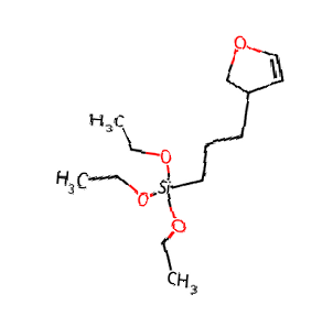 CCO[Si](CCCC1C=COC1)(OCC)OCC